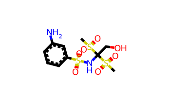 CS(=O)(=O)C(CO)(NS(=O)(=O)c1cccc(N)c1)S(C)(=O)=O